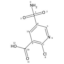 NS(=O)(=O)c1cnc(Cl)c(C(=O)O)c1